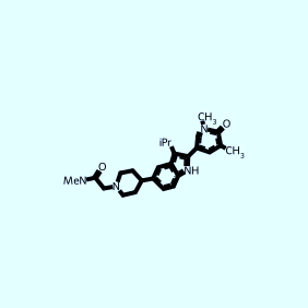 CNC(=O)CN1CCC(c2ccc3[nH]c(-c4cc(C)c(=O)n(C)c4)c(C(C)C)c3c2)CC1